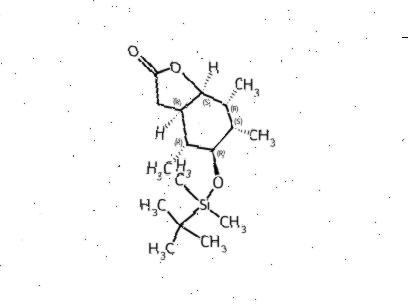 C[C@@H]1[C@H]2CC(=O)O[C@H]2[C@H](C)[C@H](C)[C@H]1O[Si](C)(C)C(C)(C)C